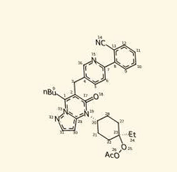 CCCCc1c(Cc2ccc(-c3ccccc3C#N)nc2)c(=O)n([C@H]2CC[C@](CC)(OOC(C)=O)CC2)c2ccnn12